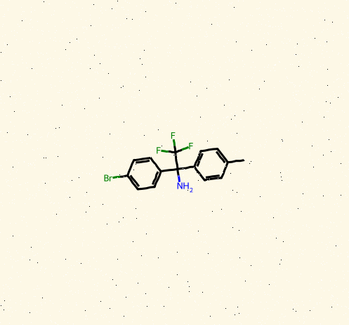 Cc1ccc(C(N)(c2ccc(Br)cc2)C(F)(F)F)cc1